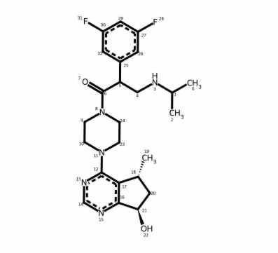 CC(C)NCC(C(=O)N1CCN(c2ncnc3c2[C@H](C)C[C@H]3O)CC1)c1cc(F)cc(F)c1